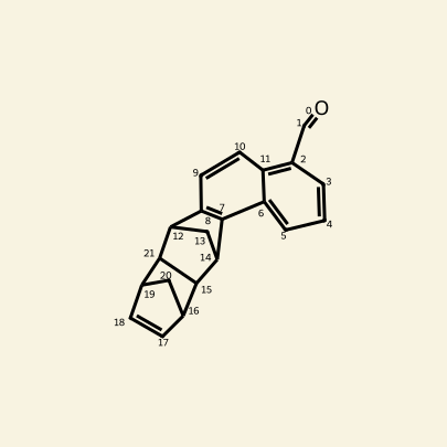 O=Cc1cccc2c3c(ccc12)C1CC3C2C3C=CC(C3)C12